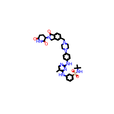 Cc1cnc(Nc2ccc(N3CCN(Cc4ccc5c(c4)CN(C4CCC(=O)NC4=O)C5=O)CC3)cc2)nc1Nc1cccc(S(=O)(=O)NC(C)(C)C)c1